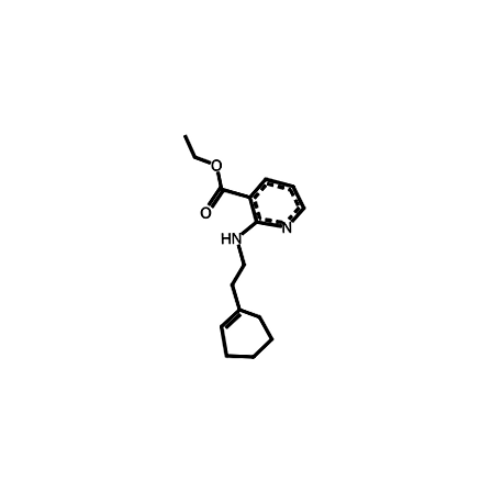 CCOC(=O)c1cccnc1NCCC1=CCCCC1